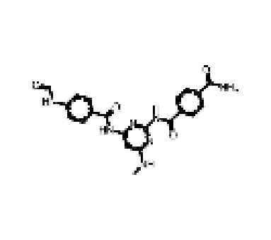 CNc1cc(NC(=O)c2ccc(NC=O)cc2)nc(NC(=O)c2ccc(C(N)=O)cc2)n1